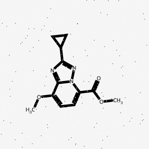 COC(=O)c1ccc(OC)c2nc(C3CC3)nn12